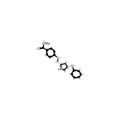 COC(=O)c1ccc(OC[C@@H]2C[C@H](Oc3ccccc3)CN2)cc1